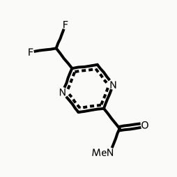 CNC(=O)c1cnc(C(F)F)cn1